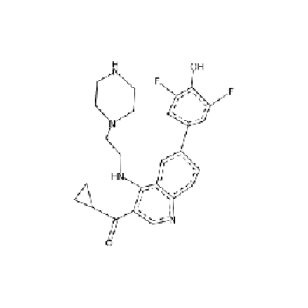 O=C(c1cnc2ccc(-c3cc(F)c(O)c(F)c3)cc2c1NCCN1CCNCC1)C1CC1